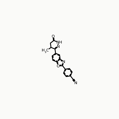 CC1CC(=O)NN=C1c1ccc2oc(-c3ccc(C#N)cc3)nc2c1